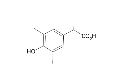 Cc1cc(C(C)C(=O)O)cc(C)c1O